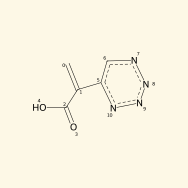 C=C(C(=O)O)c1cnnnn1